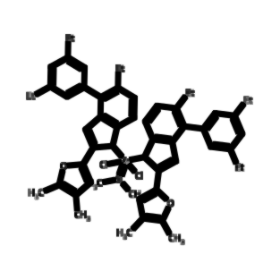 CCc1cc(CC)cc(-c2c(CC)ccc3c2C=C(c2cc(C)c(C)o2)[CH]3[Zr]([Cl])([Cl])([CH]2C(c3cc(C)c(C)o3)=Cc3c2ccc(CC)c3-c2cc(CC)cc(CC)c2)=[Si](C)C)c1